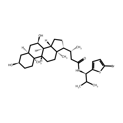 CC(C)[C@@H](NC(=O)C[C@@H](C)[C@H]1CC[C@H]2[C@@H]3[C@H](O)C[C@@H]4C[C@H](O)CC[C@]4(C)[C@H]3CC[C@]12C)c1ccc(Br)s1